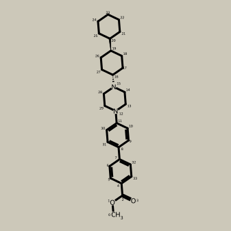 COC(=O)c1ccc(-c2ccc(N3CCN([C@H]4CC[C@H](C5CCCCC5)CC4)CC3)cc2)cc1